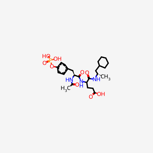 CC(=O)N[C@@H](Cc1ccc(OP(=O)(O)O)cc1)C(=O)NC(CCC(=O)O)C(=O)N[C@@H](C)CC1CCCCC1